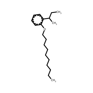 CCCCCCCCCCOc1cc[c]cc1C(C)CC